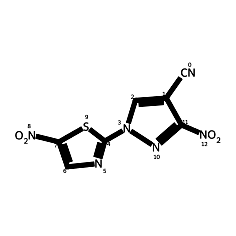 N#Cc1cn(-c2ncc([N+](=O)[O-])s2)nc1[N+](=O)[O-]